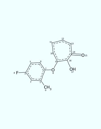 Cc1cc(F)ccc1Oc1ccccc(=O)c1O